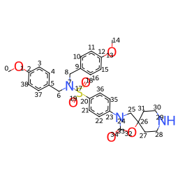 COc1ccc(CN(Cc2ccc(OC)cc2)S(=O)(=O)c2ccc(N3CC4(CCNCC4)OC3=O)cc2)cc1